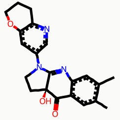 Cc1cc2c(cc1C)C(=O)[C@]1(O)CCN(c3cnc4c(c3)OCCC4)C1=N2